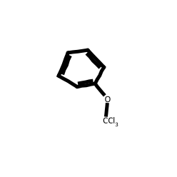 ClC(Cl)(Cl)Oc1ccccc1